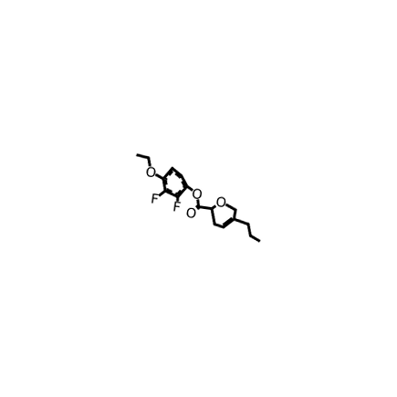 CCCC1=CCC(C(=O)Oc2ccc(OCC)c(F)c2F)OC1